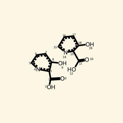 O=C(O)c1ncccc1O.O=C(O)c1ncccc1O